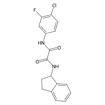 O=C(Nc1ccc(Cl)c(F)c1)C(=O)NC1CCc2ccccc21